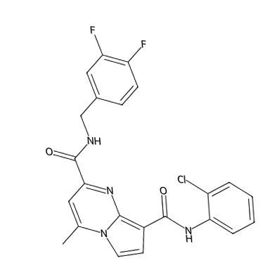 Cc1cc(C(=O)NCc2ccc(F)c(F)c2)nc2c(C(=O)Nc3ccccc3Cl)ccn12